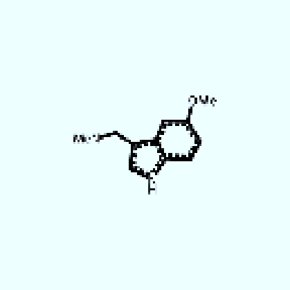 CNCc1c[nH]c2ccc(OC)cc12